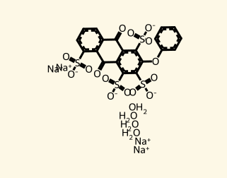 O.O.O.O.O=C1c2cccc(S(=O)(=O)[O-])c2C(=O)c2c1c(S(=O)(=O)[O-])c(Oc1ccccc1)c(S(=O)(=O)[O-])c2S(=O)(=O)[O-].[Na+].[Na+].[Na+].[Na+]